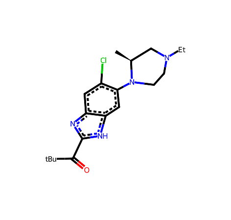 CCN1CCN(c2cc3[nH]c(C(=O)C(C)(C)C)nc3cc2Cl)[C@@H](C)C1